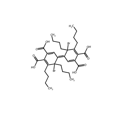 CCCCC1=C(C(=O)O)C(C(=O)O)=C/C(=C2/C=C(C(=O)O)C(C(=O)O)=C(CCCC)C2(Br)CCCC)C1(Br)CCCC